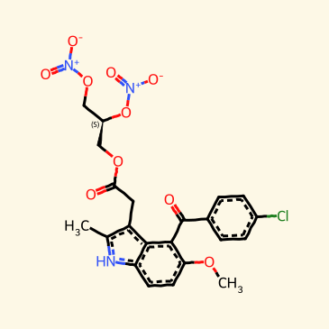 COc1ccc2[nH]c(C)c(CC(=O)OC[C@@H](CO[N+](=O)[O-])O[N+](=O)[O-])c2c1C(=O)c1ccc(Cl)cc1